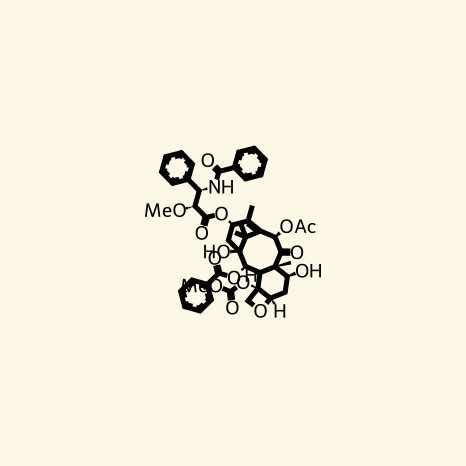 COC(=O)O[C@@]12CO[C@@H]1C[C@H](O)[C@@]1(C)C(=O)[C@H](OC(C)=O)C3=C(C)[C@@H](OC(=O)[C@H](OC)[C@@H](NC(=O)c4ccccc4)c4ccccc4)C[C@@](O)([C@@H](OC(=O)c4ccccc4)[C@H]21)C3(C)C